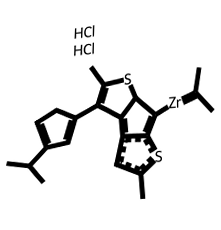 C[C](C)=[Zr][C]1=c2sc(C)cc2=C2C(C3=CC(C(C)C)=CC3)=C(C)SC21.Cl.Cl